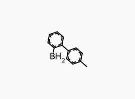 Bc1ccccc1-c1ccc(C)cc1